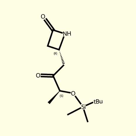 C[C@H](O[Si](C)(C)C(C)(C)C)C(=O)C[C@@H]1CC(=O)N1